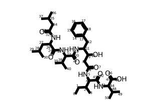 CCC(C)C(NC(=O)CC(O)C(Cc1ccccc1)NC(=O)C(NC(=O)C(CC(C)C)NC(=O)CC(C)C)C(C)C)C(=O)NC(C(=O)O)C(C)C